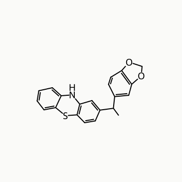 CC(c1ccc2c(c1)Nc1ccccc1S2)c1ccc2c(c1)OCO2